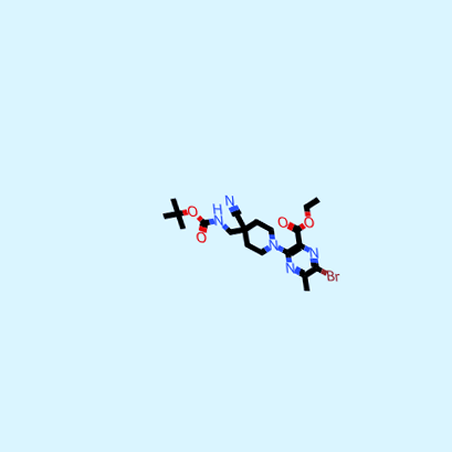 CCOC(=O)c1nc(Br)c(C)nc1N1CCC(C#N)(CNC(=O)OC(C)(C)C)CC1